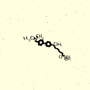 CN(C)Cc1ccc(-c2ccc(C(O)CCCCC(=O)NO)cc2)cc1